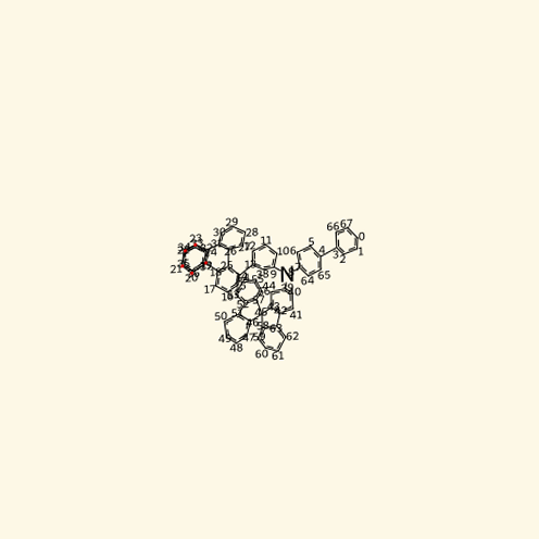 c1ccc(-c2ccc(N(c3cccc(-c4cccc(-c5ccccc5)c4-c4ccccc4-c4ccccc4)c3)c3ccc4c(c3)C3(c5ccccc5-c5ccccc53)c3ccccc3-4)cc2)cc1